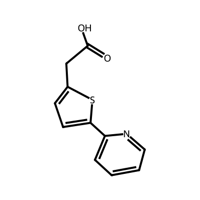 O=C(O)Cc1ccc(-c2ccccn2)s1